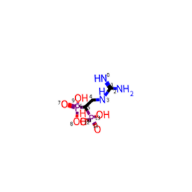 N=C(N)NCC(P(=O)(O)O)P(=O)(O)O